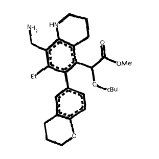 CCc1c(CN)c2c(c(C(OC(C)(C)C)C(=O)OC)c1-c1ccc3c(c1)CCCO3)CCCN2